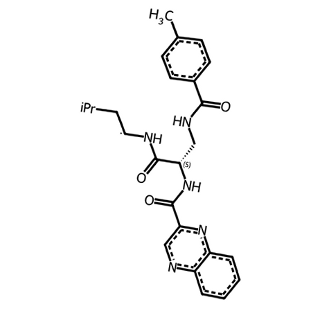 Cc1ccc(C(=O)NC[C@H](NC(=O)c2cnc3ccccc3n2)C(=O)N[CH]CC(C)C)cc1